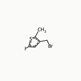 Cc1sc(I)cc1CBr